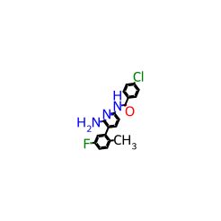 Cc1ccc(F)cc1-c1ccc(NC(=O)c2ccc(Cl)cc2)nc1N